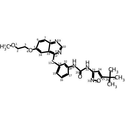 COCCOc1ccc2ncnc(Sc3cccc(NC(=O)Nc4cc(C(C)(C)C)on4)c3)c2c1